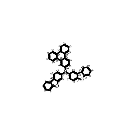 c1ccc2c(c1)oc1cc(N(c3ccc4oc5ccccc5c4c3)c3ccc4c5ccccc5c5ccccc5c4c3)ccc12